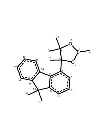 CB1OC(C)(C)C(C)(c2cccc3c2-c2ccccc2C3(C)C)O1